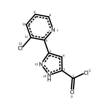 O=C(Cl)c1cc(-c2ncccc2Cl)n[nH]1